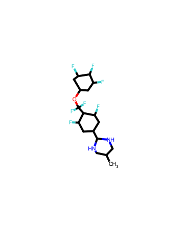 CC1CNC(C2CC(F)C(C(F)(F)OC3CC(F)C(F)C(F)C3)C(F)C2)NC1